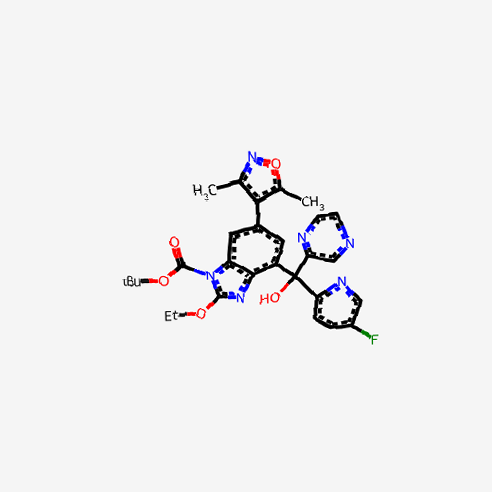 CCOc1nc2c(C(O)(c3ccc(F)cn3)c3cnccn3)cc(-c3c(C)noc3C)cc2n1C(=O)OC(C)(C)C